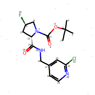 CC(C)(C)OC(=O)N1C[C@H](F)C[C@H]1C(=O)NCc1ccnc(Cl)c1